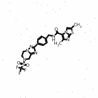 Cc1cn2c(C(=O)NCc3ccc(-c4nc5n(n4)CCN(S(=O)(=O)C(F)(F)F)C5)cc3)c(C)nc2s1